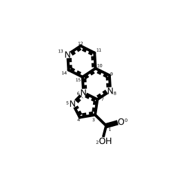 O=C(O)c1cnn2c1ncc1ccncc12